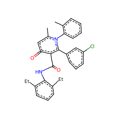 CCc1cccc(CC)c1NC(=O)c1c(-c2cccc(Cl)c2)n(-c2ccccc2C)c(C)cc1=O